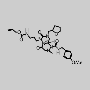 C=CCOC(=O)NCCC[C@H]1C(=O)N(CC2CCCO2)C[C@H]2N1C(=O)CN(C)N2C(=O)NCc1ccc(OC)cc1